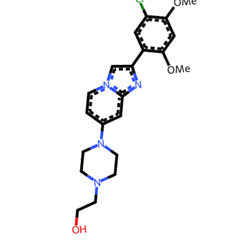 COc1cc(OC)c(-c2cn3ccc(N4CCN(CCO)CC4)cc3n2)cc1Cl